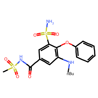 CCCCNc1cc(C(=O)NS(C)(=O)=O)cc(S(N)(=O)=O)c1Oc1ccccc1